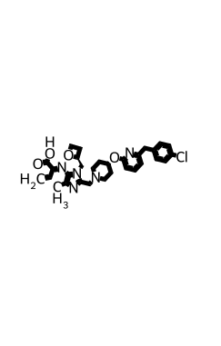 C=C/C(=N\c1c(C)nc(CN2CCC(Oc3cccc(Cc4ccc(Cl)cc4)n3)CC2)n1C[C@@H]1CCO1)C(=O)O